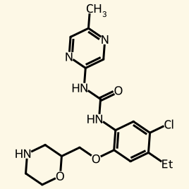 CCc1cc(OCC2CNCCO2)c(NC(=O)Nc2cnc(C)cn2)cc1Cl